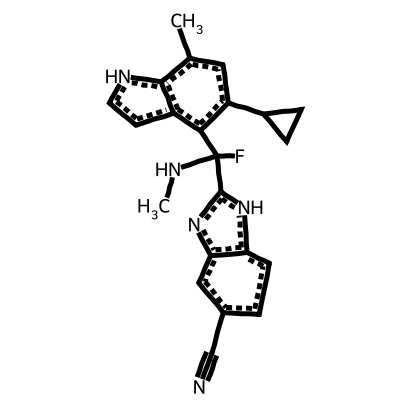 CNC(F)(c1nc2cc(C#N)ccc2[nH]1)c1c(C2CC2)cc(C)c2[nH]ccc12